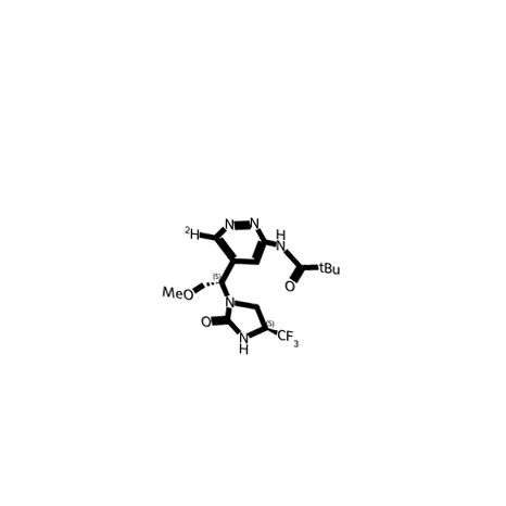 [2H]c1nnc(NC(=O)C(C)(C)C)cc1[C@@H](COC)N1C[C@@H](C(F)(F)F)NC1=O